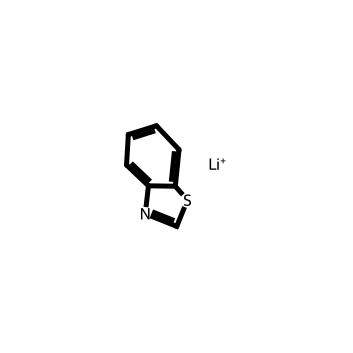 [Li+].c1ccc2scnc2c1